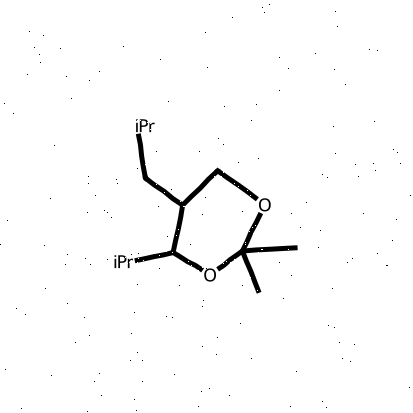 CC(C)CC1COC(C)(C)OC1C(C)C